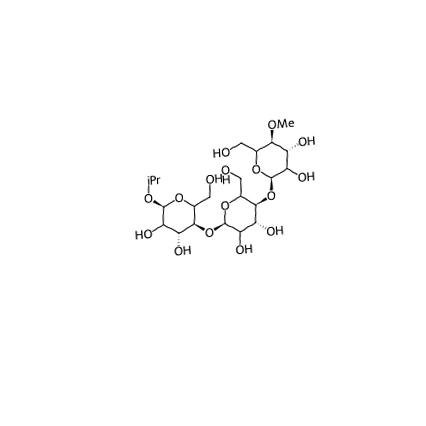 CO[C@@H]1C(CO)O[C@H](O[C@@H]2C(CO)O[C@H](O[C@@H]3C(CO)O[C@H](OC(C)C)C(O)[C@H]3O)C(O)[C@H]2O)C(O)[C@H]1O